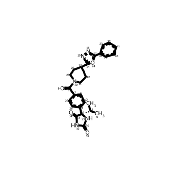 CC(C)[C@]1(c2ccc(C(=O)N3CCC(c4nnc(-c5ccccc5)o4)CC3)cc2)NC(=O)NC1=O